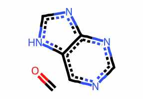 C=O.c1ncc2[nH]cnc2n1